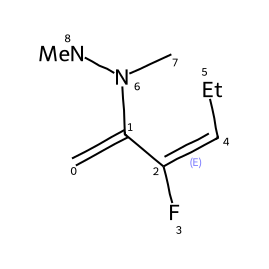 C=C(/C(F)=C\CC)N(C)NC